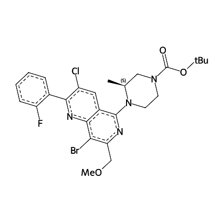 COCc1nc(N2CCN(C(=O)OC(C)(C)C)C[C@@H]2C)c2cc(Cl)c(-c3ccccc3F)nc2c1Br